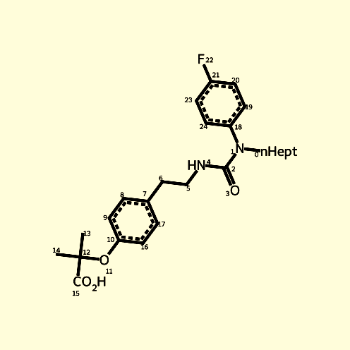 CCCCCCCN(C(=O)NCCc1ccc(OC(C)(C)C(=O)O)cc1)c1ccc(F)cc1